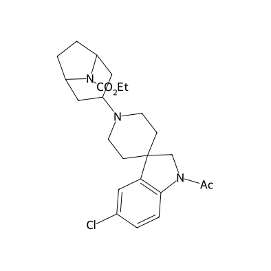 CCOC(=O)N1C2CCC1CC(N1CCC3(CC1)CN(C(C)=O)c1ccc(Cl)cc13)C2